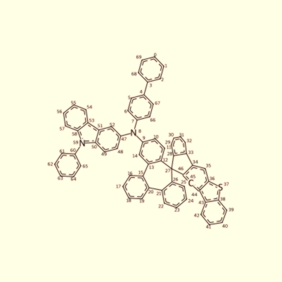 c1ccc(-c2ccc(N(c3ccc4c(c3)-c3ccccc3-c3ccccc3C43c4ccccc4-c4cc5sc6ccccc6c5cc43)c3ccc4c(c3)c3ccccc3n4-c3ccccc3)cc2)cc1